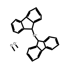 C[O-].C[O-].c1ccc2c(c1)-c1ccccc1[CH]2[Ti+2][CH]1c2ccccc2-c2ccccc21